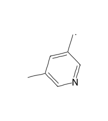 [CH2]c1cncc(C)c1